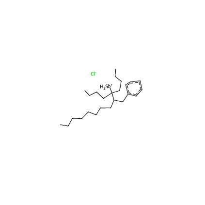 CCCCCCCCC(Cc1ccccc1)[C]([SbH3+])(CCCC)CCCC.[Cl-]